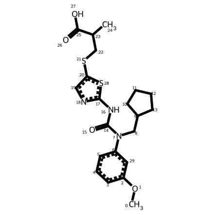 COc1cccc(N(CC2CCCC2)C(=O)Nc2ncc(SCC(C)C(=O)O)s2)c1